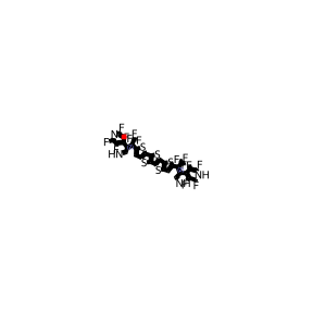 N=C/C(C1=C(F)C(F)NC(F)=C1F)=C(\c1cc2sc3c(sc4c5sc(/C(=C(\C=N)c6c(F)c(F)nc(F)c6F)C(F)(F)F)cc5sc43)c2s1)C(F)(F)F